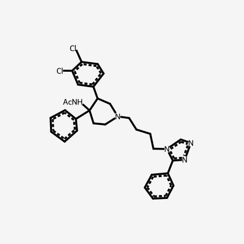 CC(=O)NC1(c2ccccc2)CCN(CCCCn2cnnc2-c2ccccc2)CC1c1ccc(Cl)c(Cl)c1